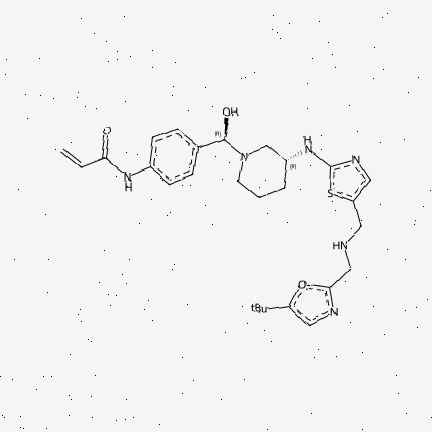 C=CC(=O)Nc1ccc([C@@H](O)N2CCC[C@@H](Nc3ncc(CNCc4ncc(C(C)(C)C)o4)s3)C2)cc1